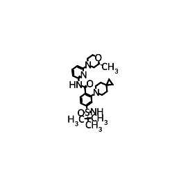 C[C@@H]1CN(c2cccc(NC(=O)c3ccc([S@@](=N)(=O)C(C)(C)C)cc3N3CCC4(CC3)CC4)n2)CCO1